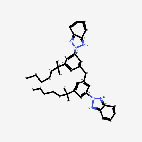 CCCCCC(C)(C)c1cc(Cc2[c]c(-n3nc4ccccc4n3)cc(C(C)(C)CCCCC)c2)[c]c(-n2nc3ccccc3n2)c1